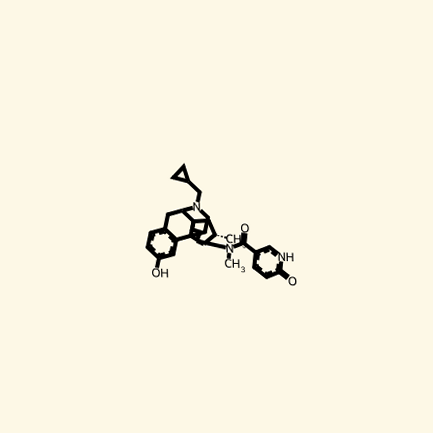 C[C@H]1CC23CCC(N(C)C(=O)c4ccc(=O)[nH]c4)C1C21CCN(CC2CC2)C3Cc2ccc(O)cc21